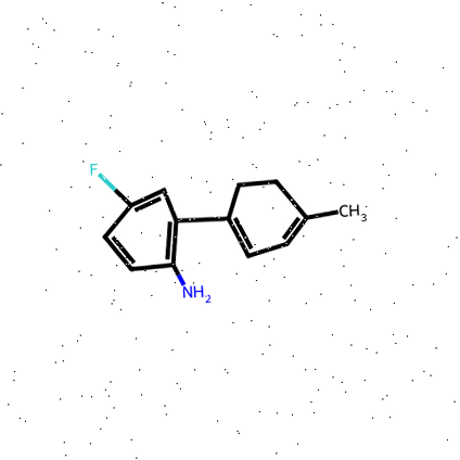 CC1=CC=C(c2cc(F)ccc2N)CC1